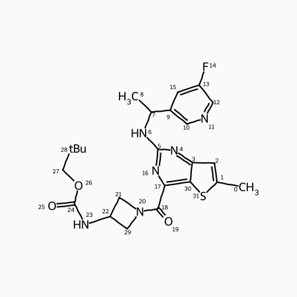 Cc1cc2nc(NC(C)c3cncc(F)c3)nc(C(=O)N3CC(NC(=O)OCC(C)(C)C)C3)c2s1